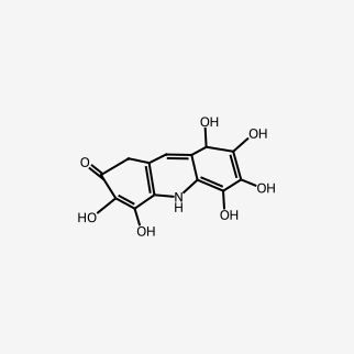 O=C1CC2=C(NC3=C(O)C(O)=C(O)C(O)C3=C2)C(O)=C1O